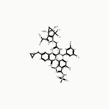 Cn1nc(NS(C)(=O)=O)c2c(Cl)ccc(-n3c([C@H](Cc4cc(F)cc(F)c4)NC(=O)Cn4nc(C(F)F)c5c4C(F)(F)[C@@H]4C[C@H]54)nc4cc(CC5CC5)ccc4c3=O)c21